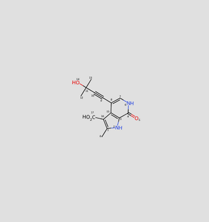 Cc1[nH]c2c(=O)[nH]cc(C#CC(C)(C)O)c2c1C(=O)O